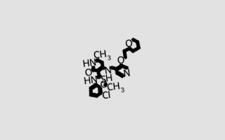 COc1c(Cl)cccc1NC(=S)C1=C(NCc2ccncc2OCCC2CCCCO2)CC(C)NC1=O